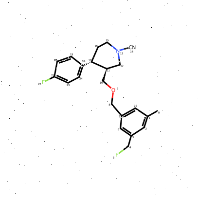 Cc1cc(CF)cc(COC[C@@H]2CN(C#N)CC[C@H]2c2ccc(F)cc2)c1